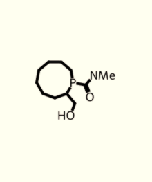 CNC(=O)P1CCCCCCCC1CO